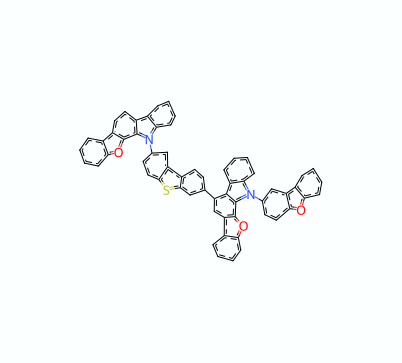 c1ccc2c(c1)oc1ccc(-n3c4ccccc4c4c(-c5ccc6c(c5)sc5ccc(-n7c8ccccc8c8ccc9c%10ccccc%10oc9c87)cc56)cc5c6ccccc6oc5c43)cc12